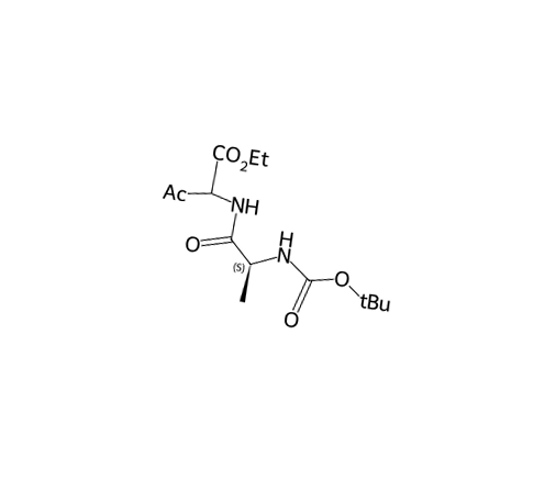 CCOC(=O)C(NC(=O)[C@H](C)NC(=O)OC(C)(C)C)C(C)=O